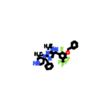 CN(c1ncc2c(-c3cc(C(F)(F)F)c(F)c(OCc4ccccc4)c3F)nn(C)c2n1)C1(Cc2ccccc2)CCNCC1